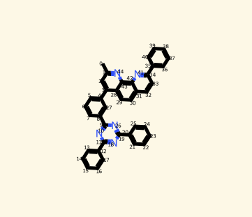 Cc1cc(-c2cccc(-c3nc(-c4ccccc4)nc(-c4ccccc4)n3)c2)c2ccc3ccc(-c4ccccc4)nc3c2n1